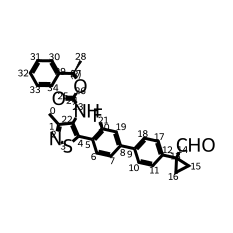 Cc1nsc(-c2ccc(-c3ccc(C4(C=O)CC4)cc3)cc2F)c1NC(=O)O[C@H](C)c1ccccc1